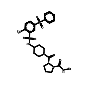 CCNC(=O)N1CCC[C@H]1C(=O)N1CCC(NS(=O)(=O)c2cc(S(=O)(=O)c3ccccc3)ccc2C(F)(F)F)CC1